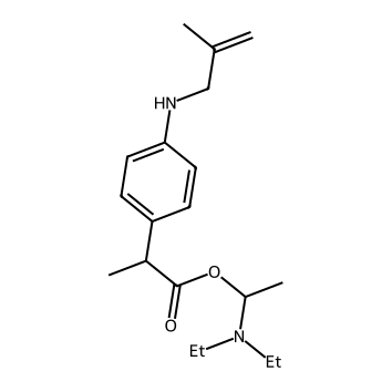 C=C(C)CNc1ccc(C(C)C(=O)OC(C)N(CC)CC)cc1